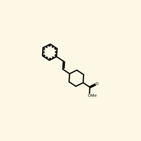 COC(=O)C1CCC(/C=C/c2ccccc2)CC1